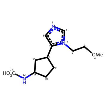 COCCn1cncc1C1CCC(NC(=O)O)C1